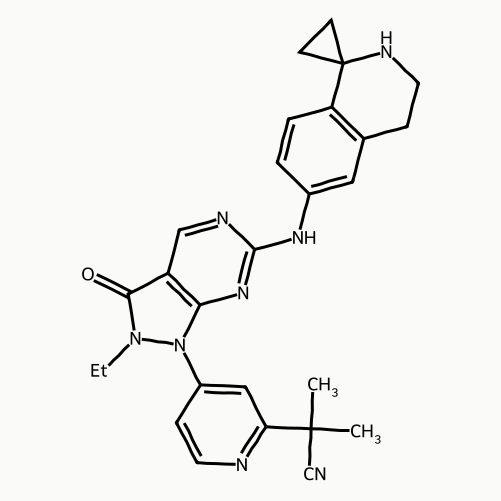 CCn1c(=O)c2cnc(Nc3ccc4c(c3)CCNC43CC3)nc2n1-c1ccnc(C(C)(C)C#N)c1